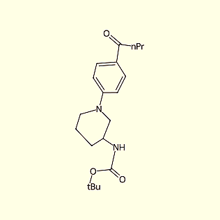 CCCC(=O)c1ccc(N2CCCC(NC(=O)OC(C)(C)C)C2)cc1